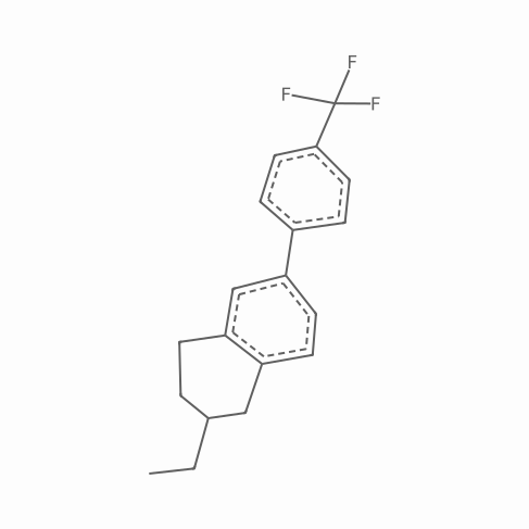 CCC1CCc2cc(-c3ccc(C(F)(F)F)cc3)ccc2C1